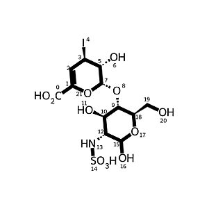 O=C(O)C1=C[C@@H](I)[C@H](O)[C@H](O[C@H]2[C@H](O)[C@@H](NS(=O)(=O)O)C(O)O[C@@H]2CO)O1